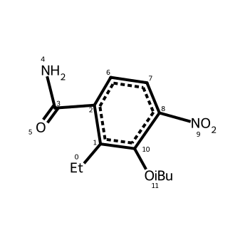 CCc1c(C(N)=O)ccc([N+](=O)[O-])c1OCC(C)C